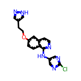 Clc1ncc(Nc2nccc3cc(OCCc4cn[nH]c4)ccc23)cn1